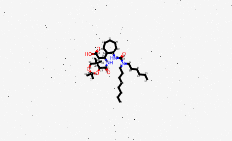 CCCCCCCCN(CCCCCC)C(=O)NC1CCCCCC1C(CC(=O)O)NC(=O)C1OC(C)(C)OCC1(C)C